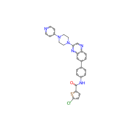 O=C(Nc1ccc(-c2ccc3ncc(N4CCN(c5ccncc5)CC4)nc3c2)cc1)c1ccc(Cl)s1